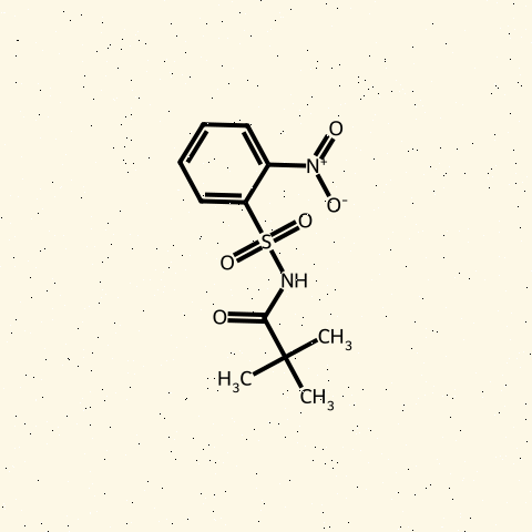 CC(C)(C)C(=O)NS(=O)(=O)c1ccccc1[N+](=O)[O-]